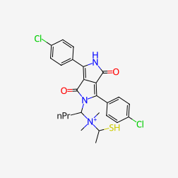 CCCC(N1C(=O)C2=C(c3ccc(Cl)cc3)NC(=O)C2=C1c1ccc(Cl)cc1)[N+](C)(C)C(C)S